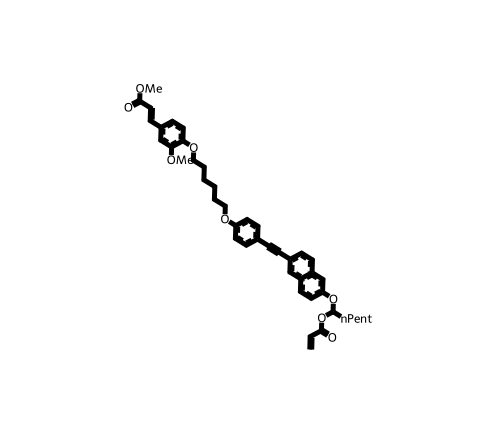 C=CC(=O)OC(CCCCC)Oc1ccc2cc(C#Cc3ccc(OCCCCCCOc4ccc(/C=C/C(=O)OC)cc4OC)cc3)ccc2c1